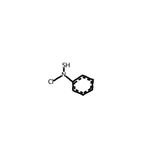 SN(Cl)c1ccccc1